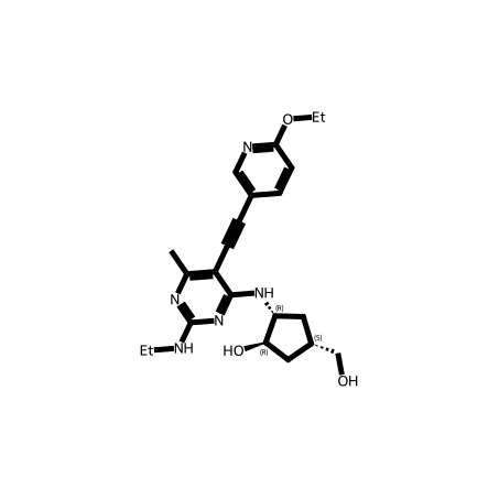 CCNc1nc(C)c(C#Cc2ccc(OCC)nc2)c(N[C@@H]2C[C@H](CO)C[C@H]2O)n1